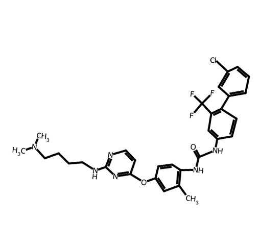 Cc1cc(Oc2ccnc(NCCCCN(C)C)n2)ccc1NC(=O)Nc1ccc(-c2cccc(Cl)c2)c(C(F)(F)F)c1